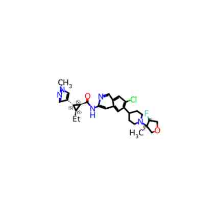 CC[C@@H]1[C@H](C(=O)Nc2cc3cc(C4CCN([C@]5(C)COC[C@@H]5F)CC4)c(Cl)cc3cn2)[C@H]1c1cnn(C)c1